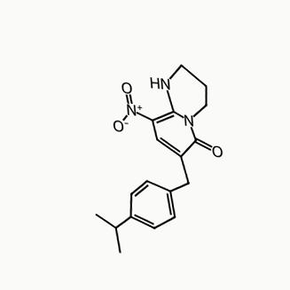 CC(C)c1ccc(Cc2cc([N+](=O)[O-])c3n(c2=O)CCCN3)cc1